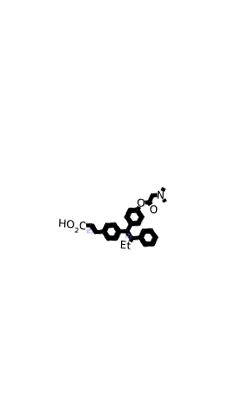 CC/C(=C(\c1ccc(/C=C/C(=O)O)cc1)c1ccc(OC(=O)CN(C)C)cc1)c1ccccc1